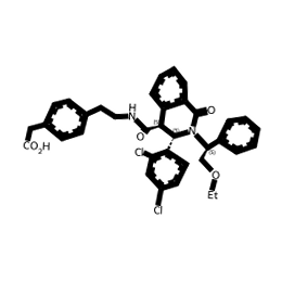 CCOC[C@H](c1ccccc1)N1C(=O)c2ccccc2[C@H](C(=O)NCCc2ccc(CC(=O)O)cc2)[C@H]1c1ccc(Cl)cc1Cl